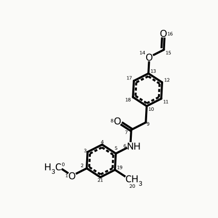 COc1ccc(NC(=O)Cc2ccc(OC=O)cc2)c(C)c1